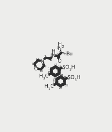 CC[C@H](C)[C@H](N)C(=O)NCCN1CCOCC1.Cc1ccc(S(=O)(=O)O)cc1.Cc1ccc(S(=O)(=O)O)cc1